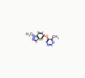 Cc1ncncc1Oc1ccc2c(cnn2C)c1